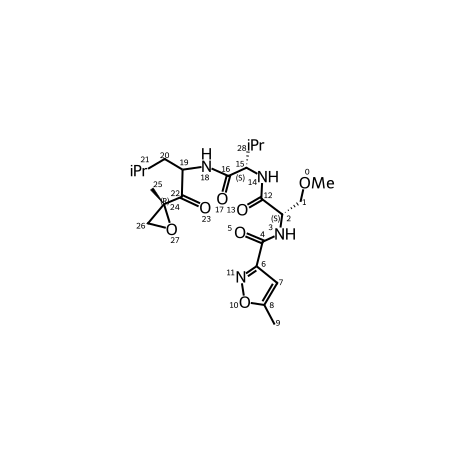 COC[C@H](NC(=O)c1cc(C)on1)C(=O)N[C@H](C(=O)NC(CC(C)C)C(=O)[C@@]1(C)CO1)C(C)C